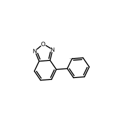 [c]1ccccc1-c1cccc2nonc12